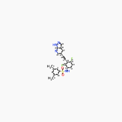 Cc1cc(C)cc(S(=O)(=O)Nc2ccc(F)c(C#Cc3cnc4[nH]ncc4c3)c2F)c1